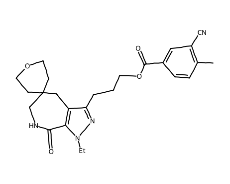 CCn1nc(CCCOC(=O)c2ccc(C)c(C#N)c2)c2c1C(=O)NCC1(CCOCC1)C2